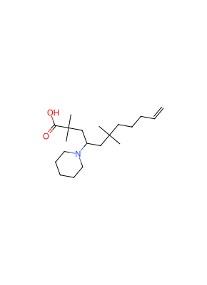 C=CCCCC(C)(C)CC(CC(C)(C)C(=O)O)N1CCCCC1